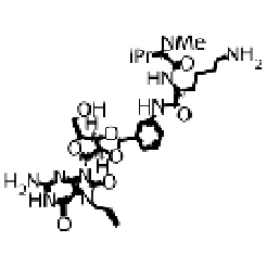 C=CCn1c(=O)n([C@@H]2OC(CO)[C@H]3OC(c4cccc(NC(=O)[C@H](CCCCN)NC(=O)[C@@H](NC)C(C)C)c4)O[C@H]32)c2nc(N)[nH]c(=O)c21